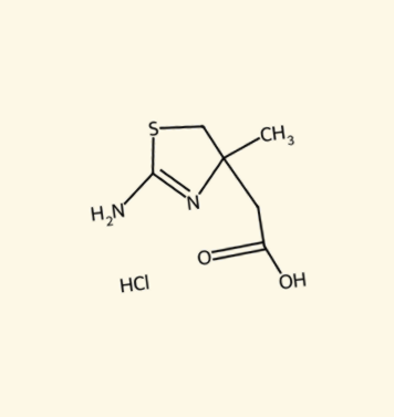 CC1(CC(=O)O)CSC(N)=N1.Cl